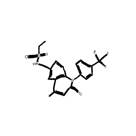 CCS(=O)(=O)Nc1ccc2c(c1)c(C)cc(=O)n2-c1ccc(C(F)(F)F)cc1